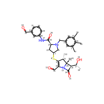 Cc1cc(CN2C[C@@H](SC3=C(C=O)N4C(=O)[C@H]([C@@H](C)O)[C@H]4[C@H]3C)C[C@H]2C(=O)Nc2cccc(C=O)c2)cc(C)c1C